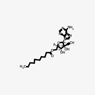 C#C[C@]1(O)[C@H](n2cnc3c(N)ncnc32)O[C@](F)(COC(=O)CCCCCCCCC)[C@H]1O